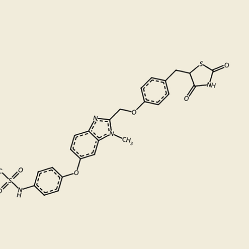 Cn1c(COc2ccc(CC3SC(=O)NC3=O)cc2)nc2ccc(Oc3ccc(NS(C)(=O)=O)cc3)cc21